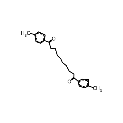 Cc1ccc(C(=O)CCCCCCCCC(=O)c2ccc(C)cc2)cc1